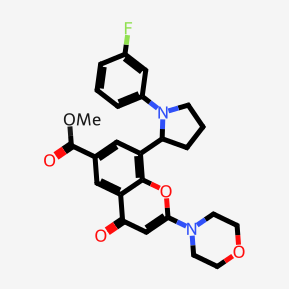 COC(=O)c1cc(C2CCCN2c2cccc(F)c2)c2oc(N3CCOCC3)cc(=O)c2c1